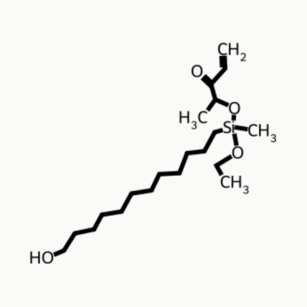 C=CC(=O)C(C)O[Si](C)(CCCCCCCCCCCCO)OCC